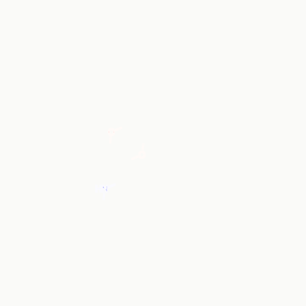 CNCC1COc2cccc(-c3cc(F)ccc3F)c2O1